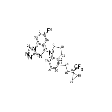 Fc1ccc2c(c1)c(N1CCCc3c(CCC4(C(F)(F)F)CC4)cccc31)nc1nncn12